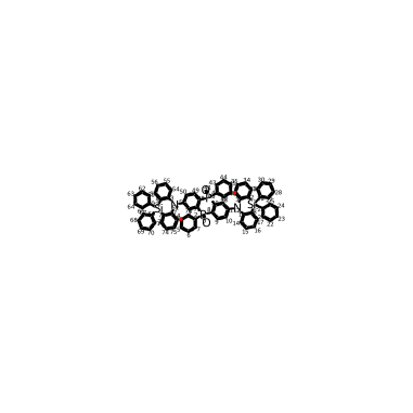 O=P1(c2ccccc2)c2ccc(N3c4ccccc4[Si](c4ccccc4)(c4ccccc4)c4ccccc43)cc2P(=O)(c2ccccc2)c2ccc(N3c4ccccc4[Si](c4ccccc4)(c4ccccc4)c4ccccc43)cc21